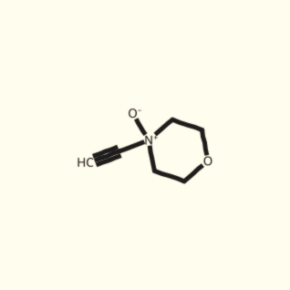 C#C[N+]1([O-])CCOCC1